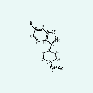 CC(=O)NN1CCC(c2noc3cc(F)ccc23)CC1